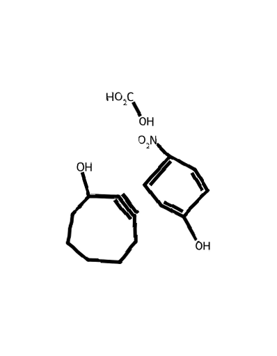 O=C(O)O.O=[N+]([O-])c1ccc(O)cc1.OC1C#CCCCCC1